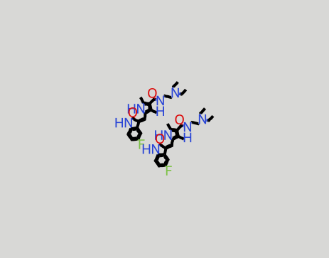 CCN(CC)CCNC(=O)c1c(C)[nH]c(C=C2C(=O)Nc3ccc(F)cc32)c1C.CCN(CC)CCNC(=O)c1c(C)[nH]c(C=C2C(=O)Nc3ccc(F)cc32)c1C